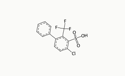 O=S(=O)(O)c1c(Cl)ccc(-c2ccccc2)c1C(F)(F)F